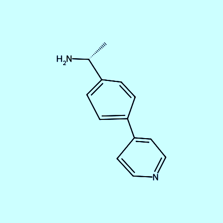 C[C@@H](N)c1ccc(-c2ccncc2)cc1